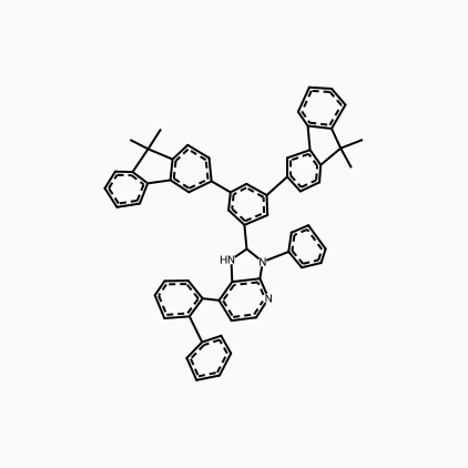 CC1(C)c2ccccc2-c2cc(-c3cc(-c4ccc5c(c4)-c4ccccc4C5(C)C)cc(C4Nc5c(-c6ccccc6-c6ccccc6)ccnc5N4c4ccccc4)c3)ccc21